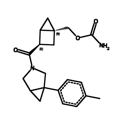 Cc1ccc(C23CC2CN(C(=O)[C@@H]2C[C@]4(COC(N)=O)CC24)C3)cc1